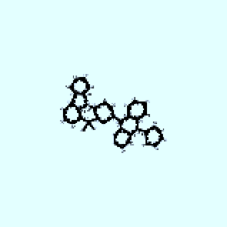 CC1(C)c2cc(-c3c4ccccc4c(-c4ccccc4)c4ccccc34)ccc2-n2c3ccccc3c3cccc1c32